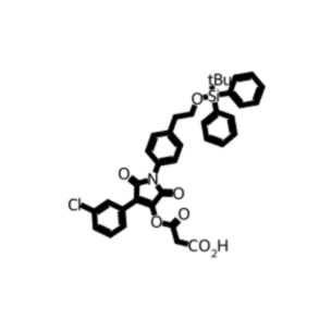 CC(C)(C)[Si](OCCc1ccc(N2C(=O)C(OC(=O)CC(=O)O)=C(c3cccc(Cl)c3)C2=O)cc1)(c1ccccc1)c1ccccc1